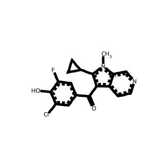 Cn1c(C2CC2)c(C(=O)c2cc(F)c(O)c(Cl)c2)c2ccncc21